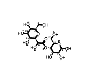 O=C(O[C@H]1[C@H](O)[C@@H](O)[C@H](O)O[C@@H]1CO)C(O)[C@@H]1O[C@H](CO)[C@H](O)[C@H](O)[C@H]1O